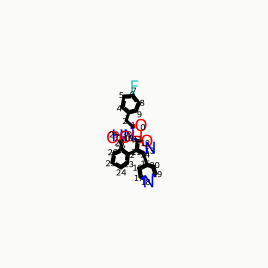 O=C(Cc1ccc(F)cc1)Nc1onc(-c2ccncc2)c1-c1ccccc1C(=O)O